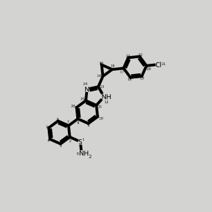 NSc1ccccc1-c1ccc2[nH]c(C3CC3c3ccc(Cl)cc3)nc2c1